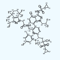 CC(C)(CCc1ccc(-c2ccc(Cl)c3c(NS(=O)(=O)C4CC4)nn(CC(F)F)c23)c([C@H](Cc2cc(F)cc(F)c2)NC(=O)Cn2nc(C(F)F)c3c2C(F)(F)CCC3(F)F)n1)S(=O)(=O)C1CC1